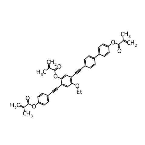 C=C(C)C(=O)Oc1ccc(C#Cc2cc(OCC)c(C#Cc3ccc(-c4ccc(OC(=O)C(=C)C)cc4)cc3)cc2OC(=O)C(=C)C)cc1